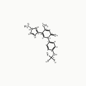 Cc1cc(=O)n(-c2ccc(OC(F)(F)F)cc2)cc1-c1nnn(C)n1